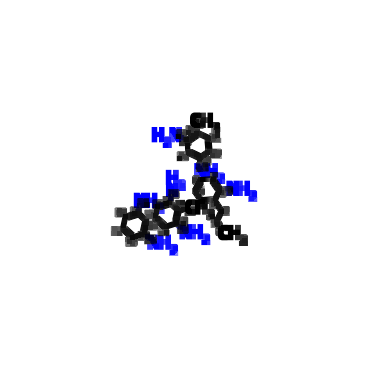 C=CCc1ccccc1N.Cc1c(N)cccc1N.Cc1ccc(N)cc1N.Nc1cccc(N)c1